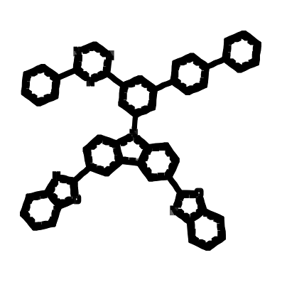 c1ccc(-c2ccc(-c3cc(-c4ncnc(-c5ccccc5)n4)cc(-n4c5ccc(-c6nc7ccccc7o6)cc5c5cc(-c6nc7ccccc7o6)ccc54)c3)cc2)cc1